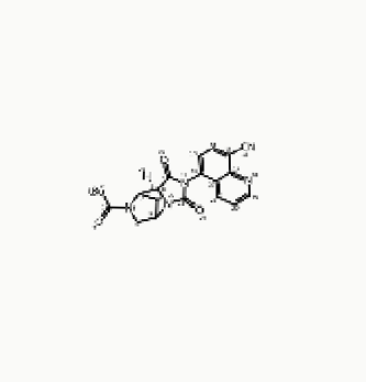 CC(C)(C)C(=O)N1CC2CC1[C@H]1C(=O)N(c3ccc(C#N)c4ncccc34)C(=O)N21